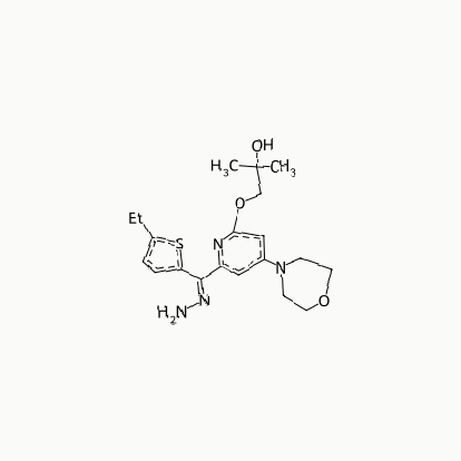 CCc1ccc(C(=NN)c2cc(N3CCOCC3)cc(OCC(C)(C)O)n2)s1